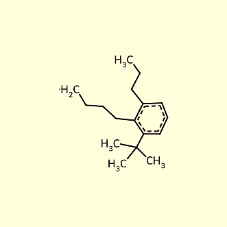 [CH2]CCCc1c(CCC)cccc1C(C)(C)C